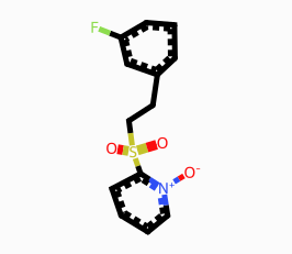 O=S(=O)(CCc1cccc(F)c1)c1cccc[n+]1[O-]